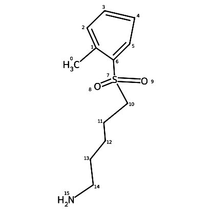 Cc1ccccc1S(=O)(=O)CCCCCN